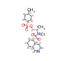 CCN(C(C)COS(=O)(=O)c1ccc(C)cc1)S(=O)(=O)c1cccc2cnccc12